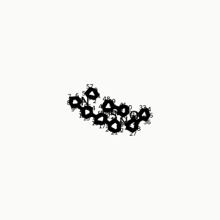 c1ccc(-n2c3ccccc3c3ccc(-c4ccc(-c5cccc(N(c6cccc7c6oc6ccccc67)c6cccc7c6sc6ccccc67)c5)cc4)cc32)cc1